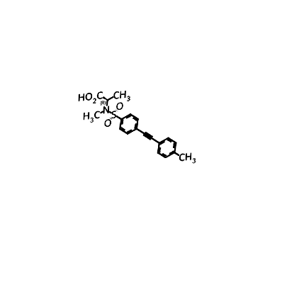 Cc1ccc(C#Cc2ccc(S(=O)(=O)N(C)[C@H](C)C(=O)O)cc2)cc1